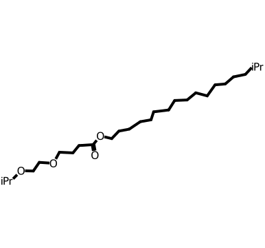 CC(C)CCCCCCCCCCCCCCCOC(=O)CCCOCCOC(C)C